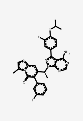 Cc1csc2cc([C@H](C)n3nc(-c4ccc(OC(C)C)c(F)c4)c4c(N)ncnc43)c(-c3cccc(F)c3)c(=O)n12